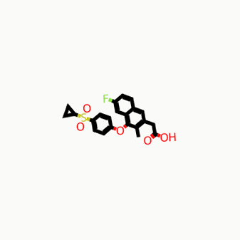 Cc1c(CC(=O)O)cc2ccc(F)cc2c1Oc1ccc(S(=O)(=O)C2CC2)cc1